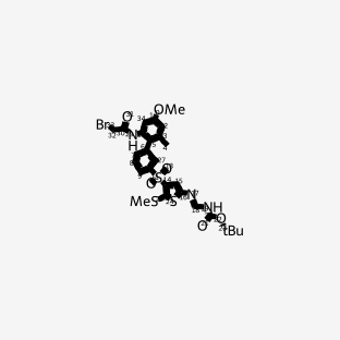 COc1cc(C)c(-c2cccc(S(=O)(=O)c3cc(/N=C/NC(=O)OC(C)(C)C)sc3SC)c2)c(NC(=O)CBr)c1